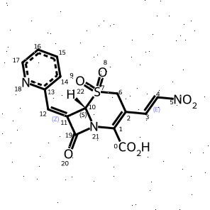 O=C(O)C1=C(/C=C/[N+](=O)[O-])CS(=O)(=O)[C@H]2/C(=C\c3ccccn3)C(=O)N12